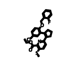 CCOC(=O)c1nc(C2=C(c3cc(Cl)ccc3OCc3ccccc3F)CCC2)ccc1SC